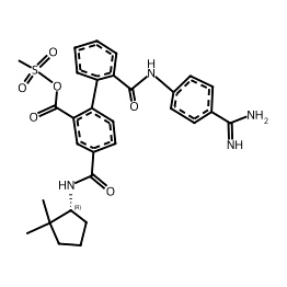 CC1(C)CCC[C@H]1NC(=O)c1ccc(-c2ccccc2C(=O)Nc2ccc(C(=N)N)cc2)c(C(=O)OS(C)(=O)=O)c1